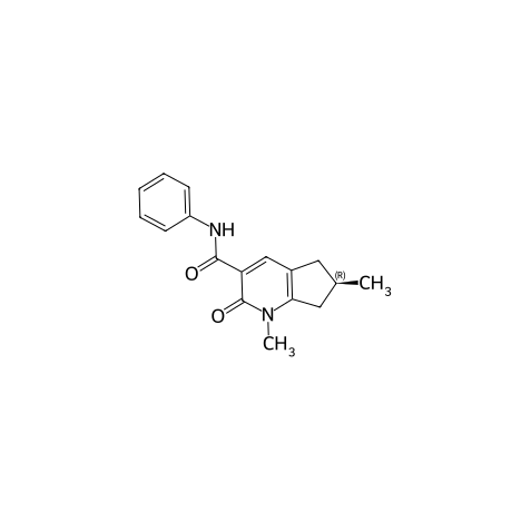 C[C@@H]1Cc2cc(C(=O)Nc3ccccc3)c(=O)n(C)c2C1